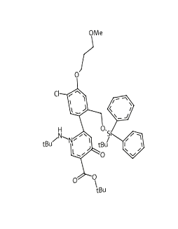 COCCCOc1cc(CO[Si](c2ccccc2)(c2ccccc2)C(C)(C)C)c(-c2cc(=O)c(C(=O)OC(C)(C)C)cn2NC(C)(C)C)cc1Cl